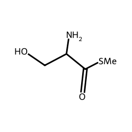 CSC(=O)C(N)CO